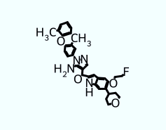 Cc1ccccc1Oc1ccc(-n2ncc(C(=O)c3cc4cc(OCCF)c(C5CCOCC5)cc4[nH]3)c2N)cc1C